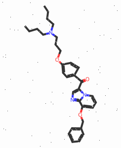 CCCCN(CCCC)CCCOc1ccc(C(=O)c2cnc3c(OCc4ccccc4)cccn23)cc1